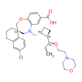 C=C[C@H](OCCN1CCOCC1)[C@@H]1CC[C@H]1CN1C[C@@]2(CCCc3cc(Cl)ccc32)COc2ccc(C(=O)O)cc21